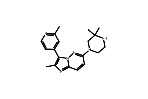 Cc1cc(-c2c(C)nc3ccc(N4CCNC(C)(C)C4)nn23)ccn1